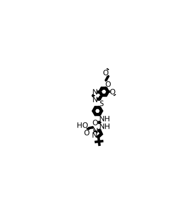 COCCOc1cc2ncnc(Sc3cccc(NC(=O)Nc4cc(C(C)(C)C)nn4CC(=O)O)c3)c2cc1OC